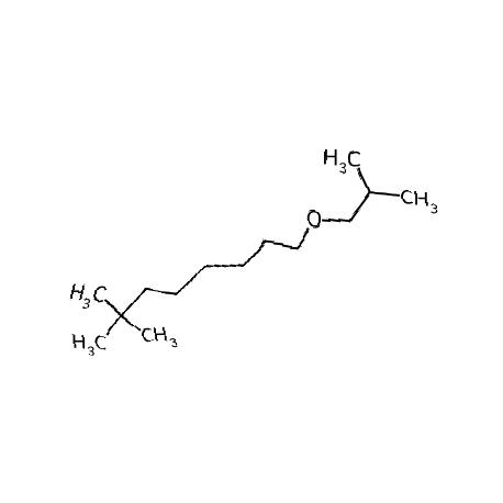 CC(C)COCCCCCCC(C)(C)C